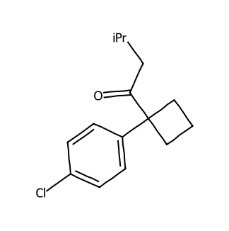 CC(C)CC(=O)C1(c2ccc(Cl)cc2)CCC1